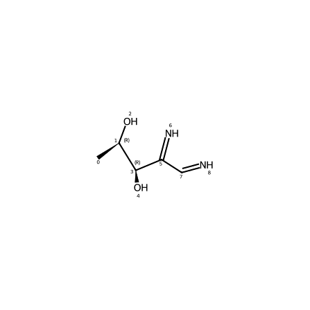 C[C@@H](O)[C@H](O)C(=N)C=N